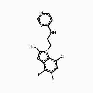 Cc1cc2c(F)c(F)cc(Cl)c2n1CCNc1ccncn1